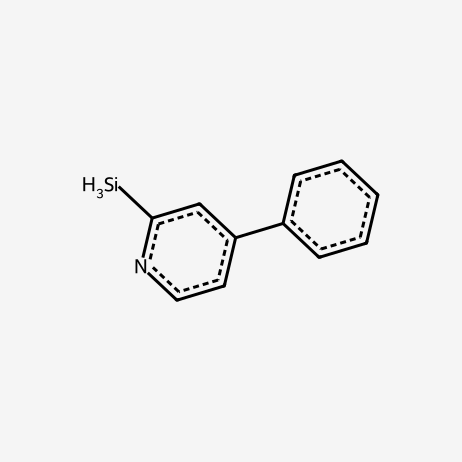 [SiH3]c1cc(-c2ccccc2)ccn1